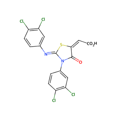 O=C(O)C=C1SC(=Nc2ccc(Cl)c(Cl)c2)N(c2ccc(Cl)c(Cl)c2)C1=O